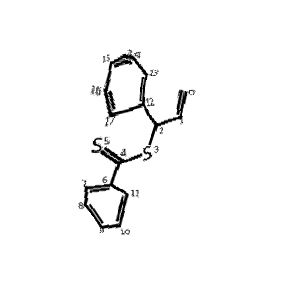 C=CC(SC(=S)c1ccccc1)c1ccccc1